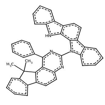 CC1(C)c2ccccc2-c2ccc3nc(-n4c5ccccc5c5ccc6c7ccccc7[nH]c6c54)nc(-c4ccccc4)c3c21